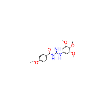 CCOc1ccc(C(=O)NC(=N)Nc2cc(OC)c(OC)c(OC)c2)cc1